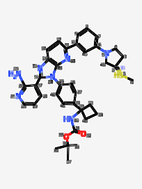 C/[SH]=C1\CCN(c2cccc(-c3ccc4nc(-c5cccnc5N)n(-c5ccc(C6(NC(=O)OC(C)(C)C)CCC6)cc5)c4n3)c2)C1